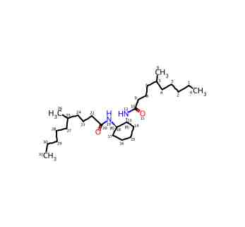 CCCCCC(C)CCCC(=O)N[C@@H]1CCCC[C@H]1NC(=O)CCCC(C)CCCCC